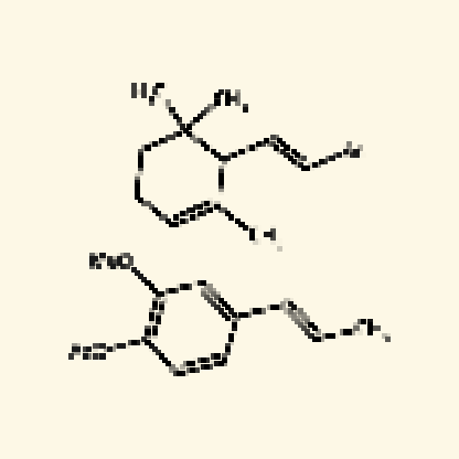 CC(=O)C=CC1C(C)=CCCC1(C)C.CC=Cc1ccc(OC(C)=O)c(OC)c1